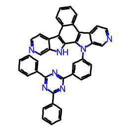 c1ccc(-c2nc(-c3ccccc3)nc(-c3cccc(-n4c5cnccc5c5c6ccccc6c6c7ccncc7[nH]c6c54)c3)n2)cc1